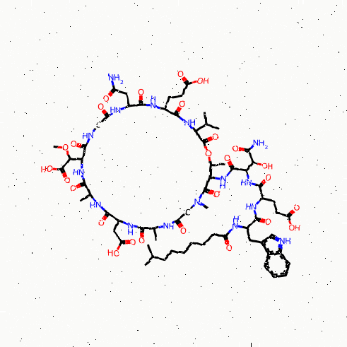 COC(C(=O)O)C1NC(=O)C(C)NC(=O)C(CC(=O)O)NC(=O)C(C)NC(=O)CN(C)C(=O)C(NC(=O)C(NC(=O)C(CCC(=O)O)NC(=O)C(Cc2c[nH]c3ccccc23)NC(=O)CCCCCCC(C)C)C(O)C(N)=O)C(C)OC(=O)C(C(C)C)NC(=O)C(CCC(=O)O)NC(=O)C(CC(N)=O)NC(=O)CNC1=O